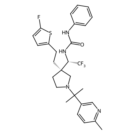 Cc1ccc(C(C)(C)N2CC[C@@](CCc3ccc(F)s3)([C@H](NC(=O)Nc3ccccc3)C(F)(F)F)C2)cn1